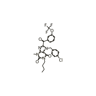 CCCCn1c(=O)c2c(nc(C(=O)c3cccc(OC(F)(F)F)c3)n2Cc2ccc(Cl)cc2)n(C)c1=O